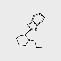 CCCN1CCCC[C@H]1c1nc2ccccc2s1